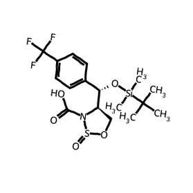 CC(C)(C)[Si](C)(C)O[C@@H](c1ccc(C(F)(F)F)cc1)[C@H]1COS(=O)N1C(=O)O